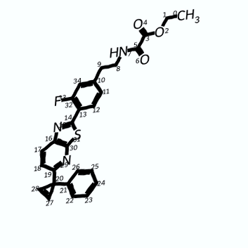 CCOC(=O)C(=O)NCCc1ccc(-c2nc3ccc(C4(c5ccccc5)C=C4)nc3s2)c(F)c1